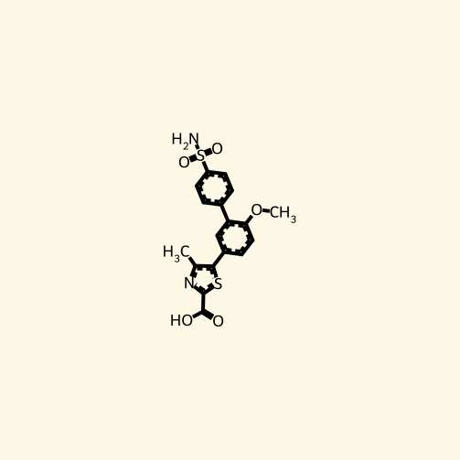 COc1ccc(-c2sc(C(=O)O)nc2C)cc1-c1ccc(S(N)(=O)=O)cc1